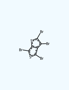 Brc1sc2c(Br)sc(Br)c2c1Br